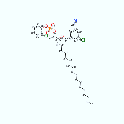 CCCCCCCCCCCCCCCCCC[C@@H](COP(=O)(OC)Oc1ccccc1Cl)OCc1cc(Cl)cc(C#N)c1